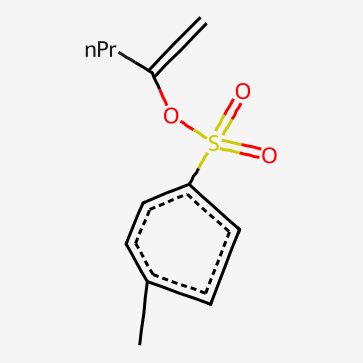 C=C(CCC)OS(=O)(=O)c1ccc(C)cc1